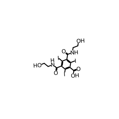 O=C(O)c1c(I)c(C(=O)NCCO)c(I)c(C(=O)NCCO)c1I